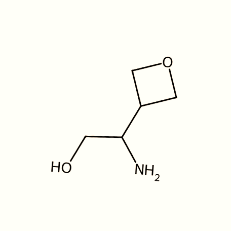 NC(CO)C1COC1